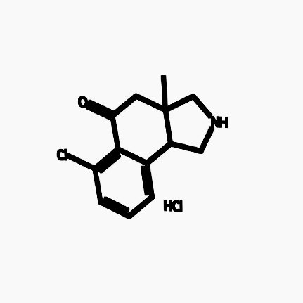 CC12CNCC1c1cccc(Cl)c1C(=O)C2.Cl